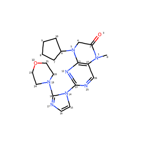 CN1C(=O)CN(C2CCCC2)c2nc(-n3ccnc3N3CCOCC3)ncc21